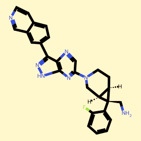 NC[C@]1(c2ccccc2F)[C@@H]2CCN(c3cnc4c(-c5ccc6ccncc6c5)n[nH]c4n3)C[C@@H]21